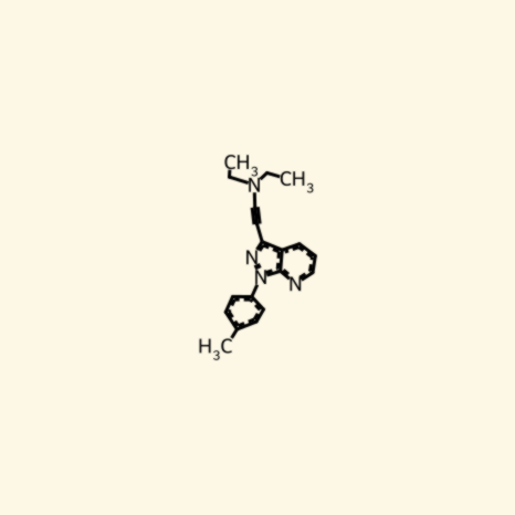 CCN(C#Cc1nn(-c2ccc(C)cc2)c2ncccc12)CC